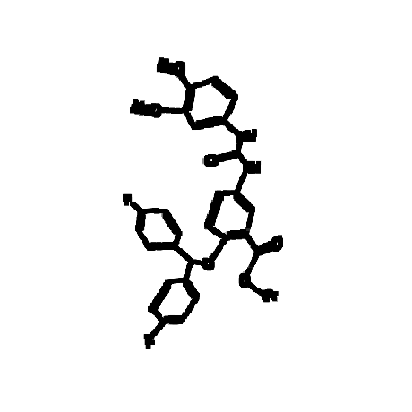 COc1ccc(NC(=O)Nc2ccc(OC(c3ccc(F)cc3)c3ccc(F)cc3)c(C(=O)OC(C)C)c2)cc1OC